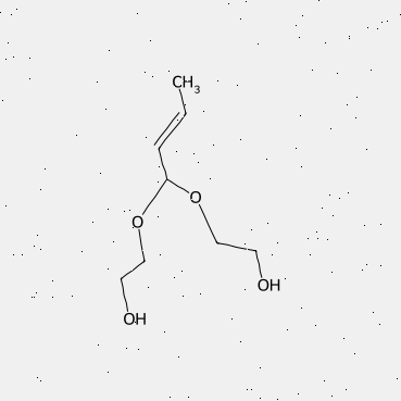 CC=CC(OCCO)OCCO